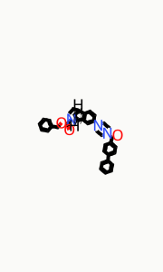 O=C(c1ccc(-c2ccccc2)cc1)N1CCN(c2ccc3c(c2)[C@H]2C[C@H]3CCN2C(=O)OCc2ccccc2)CC1